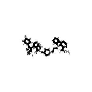 CC(=O)c1nccc2c3ccccc3n(CCCN3CCC(CN4Cc5nccc(-c6cn(C)nc6-c6ccc(F)cc6)c5C4=O)CC3)c12